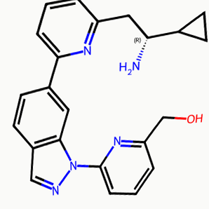 N[C@H](Cc1cccc(-c2ccc3cnn(-c4cccc(CO)n4)c3c2)n1)C1CC1